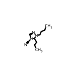 CCCCN1N=CN(C#N)C1CCC